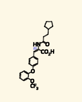 O=C(CCC1CCCC1)N/C(=C/c1ccc(Oc2ccccc2OC(F)(F)F)cc1)C(=O)O